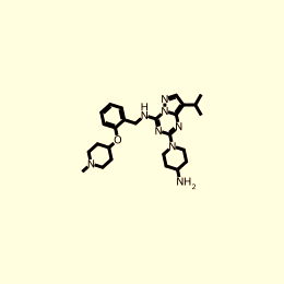 CC(C)c1cnn2c(NCc3ccccc3OC3CCN(C)CC3)nc(N3CCC(N)CC3)nc12